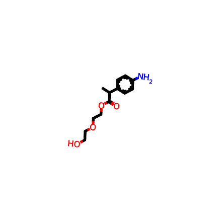 CC(C(=O)OCCOCCO)c1ccc(N)cc1